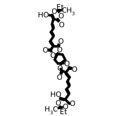 CCC1(C)OC(=O)C(/C=C/C=C/C=C2C(=O)OC3(CCC4(CC3)OC(=O)C(=C/C=C/C=C/C3=C(O)OC(C)(CC)OC3=O)C(=O)O4)OC2=O)=C(O)O1